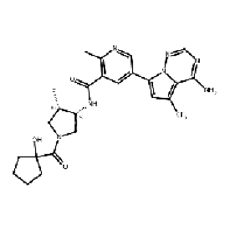 Cc1ncc(-c2cc(C(F)(F)F)c3c(N)ncnn23)cc1C(=O)N[C@@H]1CN(C(=O)C2(O)CCCC2)C[C@@H]1F